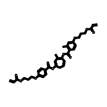 C=CC(=O)OCCCOc1ccc(C(=O)OC2=CC(C)=C(OC(=O)c3ccc(OCCCOC(=O)C=C)cc3C)C=CC2)cc1